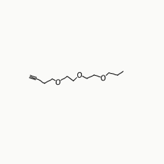 C#CCCOCCOCCOCCC